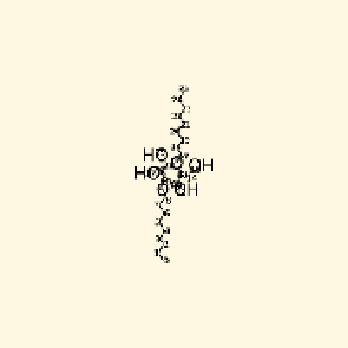 CCCCCCCCCO[C@@H]([C@H](O)[C@@H](CO)OCCCCCCCCC)[C@@H](O)CO